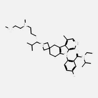 CCN(C(=O)c1cc(F)ccc1-n1c2c(c3c(C)cncc31)CC1(CC2)CN([C@@H](CCCN(C)CCOC)C(C)C)C1)C(C)C